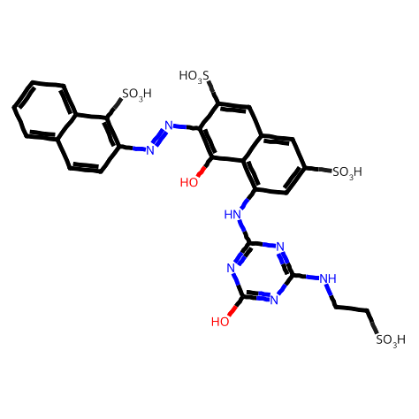 O=S(=O)(O)CCNc1nc(O)nc(Nc2cc(S(=O)(=O)O)cc3cc(S(=O)(=O)O)c(/N=N/c4ccc5ccccc5c4S(=O)(=O)O)c(O)c23)n1